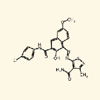 COc1ccc2c(/N=N/c3snc(C)c3C(N)=O)c(O)c(C(=O)Nc3ccc(Cl)cc3)cc2c1